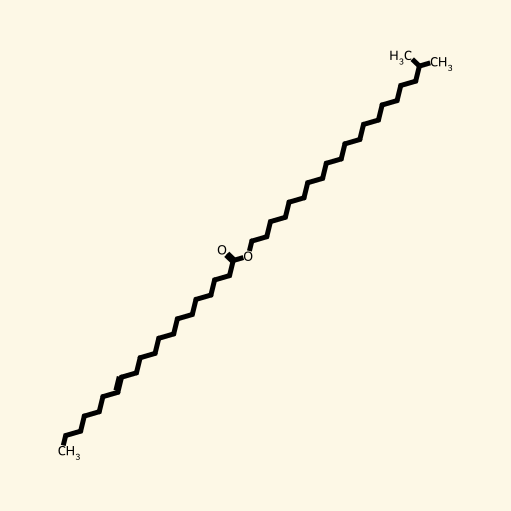 CCCCCCC=CCCCCCCCCCCCC(=O)OCCCCCCCCCCCCCCCCCCC(C)C